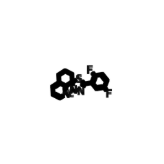 CC(=O)N1N=C(c2cc(F)ccc2F)SC12CCCc1cccnc12